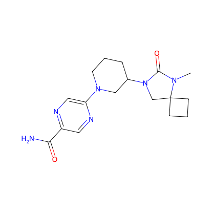 CN1C(=O)N(C2CCCN(c3cnc(C(N)=O)cn3)C2)CC12CCC2